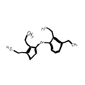 CCC1=C(CC)[C]([Zr][C]2=CCC(CC)=C2CC)=CC1